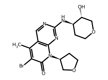 Cc1c(Br)c(=O)n([C@H]2CCOC2)c2nc(N[C@@H]3CCOC[C@H]3O)ncc12